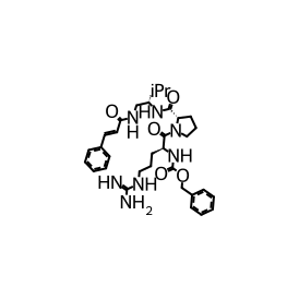 CC(C)[C@@H](CNC(=O)/C=C/c1ccccc1)NC(=O)[C@@H]1CCCN1C(=O)[C@H](CCCNC(=N)N)NC(=O)OCc1ccccc1